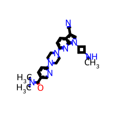 CN[C@H]1C[C@H](n2cc(C#N)c3ccc(N4CCN(c5ccc(C(=O)N(C)C)cn5)CC4)nc32)C1